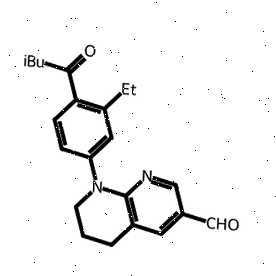 CCc1cc(N2CCCc3cc(C=O)cnc32)ccc1C(=O)C(C)CC